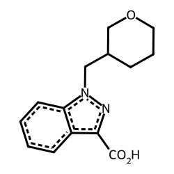 O=C(O)c1nn(CC2CCCOC2)c2ccccc12